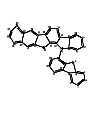 c1ccc2c(c1)sc1c(-n3c4ccccc4c4ccc5c6cc7nccnc7cc6sc5c43)cccc12